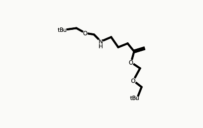 C=C(CCCNCOCC(C)(C)C)OCOCC(C)(C)C